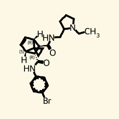 CCN1CCCC1CNC(=O)[C@H]1[C@H](C(=O)Nc2ccc(Br)cc2)[C@@H]2C=C[C@H]1C21CC1